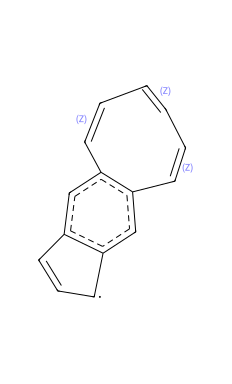 [CH]1C=Cc2cc3c(cc21)\C=C/C=C\C=C/3